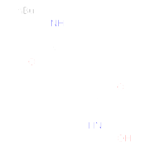 CCCCNC(=O)CCC(=O)NO